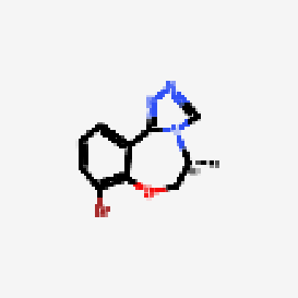 C[C@@H]1COc2c(Br)cccc2-c2nncn21